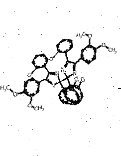 COc1ccc(C2=NC(c3ccccc3Cl)(C3(c4ccccc4Cl)N=C(c4ccc(OC)c(OC)c4)C(c4ccccc4Cl)=N3)N=C2c2ccccc2Cl)cc1OC